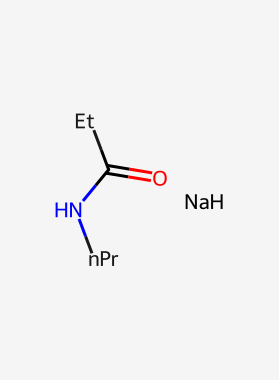 CCCNC(=O)CC.[NaH]